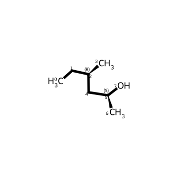 CC[C@@H](C)C[C@H](C)O